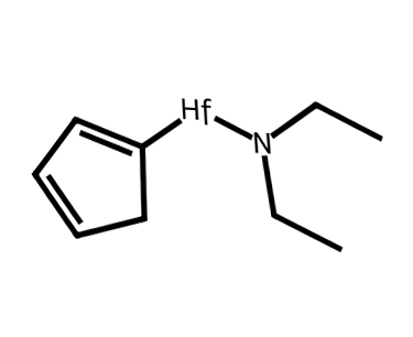 CC[N](CC)[Hf][C]1=CC=CC1